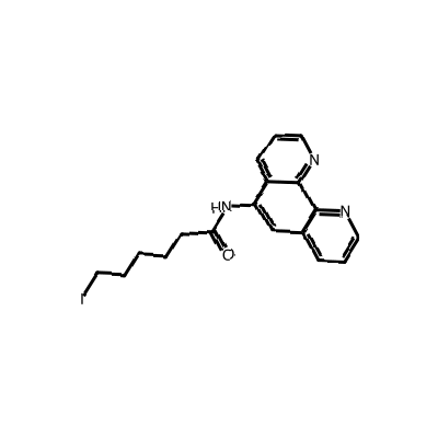 O=C(CCCCCI)Nc1cc2cccnc2c2ncccc12